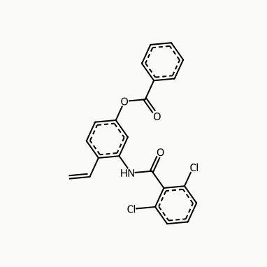 C=Cc1ccc(OC(=O)c2ccccc2)cc1NC(=O)c1c(Cl)cccc1Cl